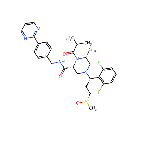 CC(C)C(=O)N1[C@H](C)CN([C@H](CC[S+](C)[O-])c2c(F)cccc2F)C[C@@H]1C(=O)NCc1ccc(-c2ncccn2)cc1